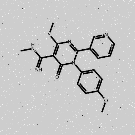 CNC(=N)c1c(SC)nc(-c2cccnc2)n(-c2ccc(OC)cc2)c1=O